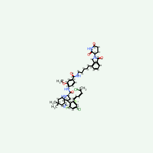 C=C(Cl)/C=C\C=C(/F)[C@H]1[C@H](C(=O)Nc2ccc(C(=O)NCCCCCc3cccc4c3CN(C3CCC(=O)NC3=O)C4=O)cc2OC)NC2(CCC(C)(C)CC2)[C@]1(C#N)c1ccc(Cl)cc1F